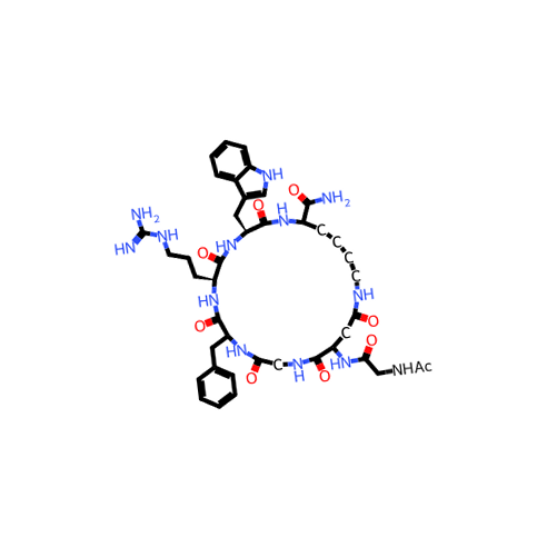 CC(=O)NCC(=O)NC1CC(=O)NCCCCC(C(N)=O)NC(=O)[C@H](Cc2c[nH]c3ccccc23)NC(=O)[C@H](CCCNC(=N)N)NC(=O)C(Cc2ccccc2)NC(=O)CNC1=O